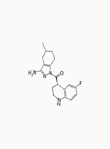 CC1CCc2c(c(N)nn2C(=O)[C@@H]2CCNc3ccc(F)cc32)C1